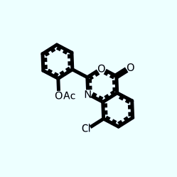 CC(=O)Oc1ccccc1-c1nc2c(Cl)cccc2c(=O)o1